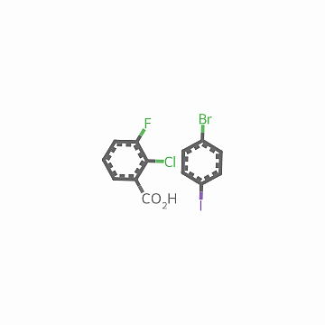 Brc1ccc(I)cc1.O=C(O)c1cccc(F)c1Cl